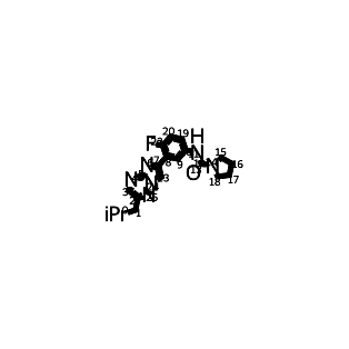 CC(C)Cc1cnc2nc(-c3cc(NC(=O)N4CCCC4)ccc3F)cn2n1